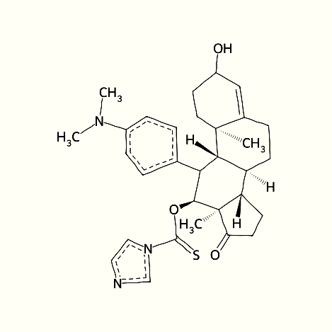 CN(C)c1ccc(C2[C@H](OC(=S)n3ccnc3)[C@]3(C)C(=O)CC[C@H]3[C@@H]3CCC4=CC(O)CC[C@]4(C)[C@@H]23)cc1